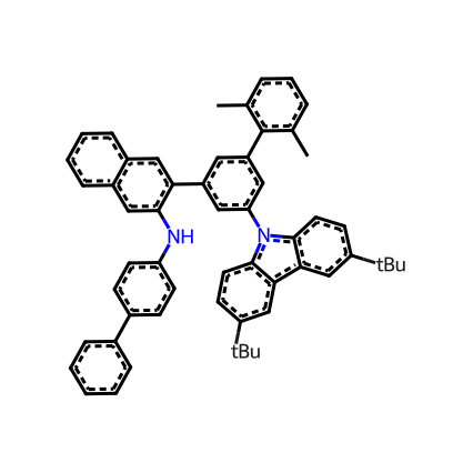 Cc1cccc(C)c1-c1cc(-c2cc3ccccc3cc2Nc2ccc(-c3ccccc3)cc2)cc(-n2c3ccc(C(C)(C)C)cc3c3cc(C(C)(C)C)ccc32)c1